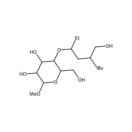 CCC(CC(CO)C(C)CC)OC1C(CO)OC(OC)C(O)C1O